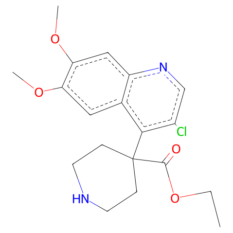 CCOC(=O)C1(c2c(Cl)cnc3cc(OC)c(OC)cc23)CCNCC1